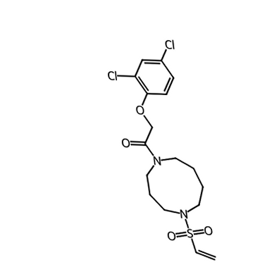 C=CS(=O)(=O)N1CCCCN(C(=O)COc2ccc(Cl)cc2Cl)CCC1